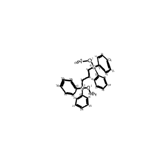 CCCO[Si](CCC[Si](OCCC)(c1ccccc1)c1ccccc1)(c1ccccc1)c1ccccc1